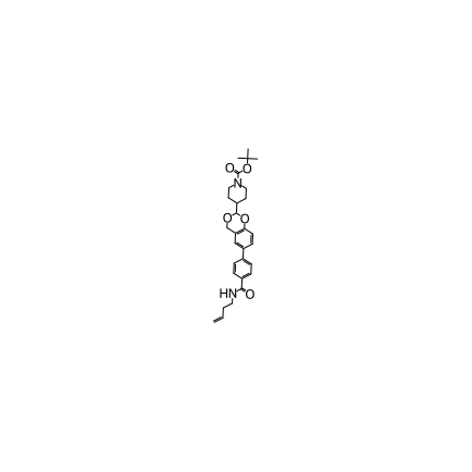 C=CCCNC(=O)c1ccc(-c2ccc3c(c2)COC(C2CCN(C(=O)OC(C)(C)C)CC2)O3)cc1